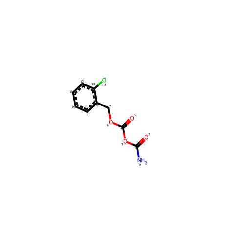 NC(=O)OC(=O)OCc1ccccc1Cl